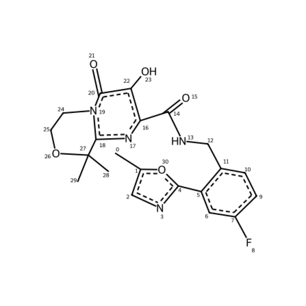 Cc1cnc(-c2cc(F)ccc2CNC(=O)c2nc3n(c(=O)c2O)CCOC3(C)C)o1